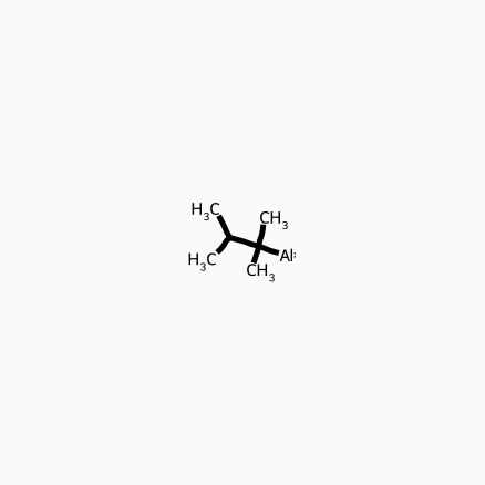 CC(C)[C](C)(C)[Al]